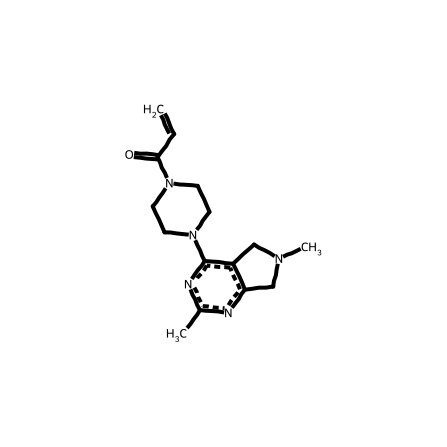 C=CC(=O)N1CCN(c2nc(C)nc3c2CN(C)C3)CC1